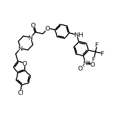 O=C(COc1ccc(Nc2ccc([N+](=O)[O-])c(C(F)(F)F)c2)cc1)N1CCN(Cc2cc3cc(Cl)ccc3o2)CC1